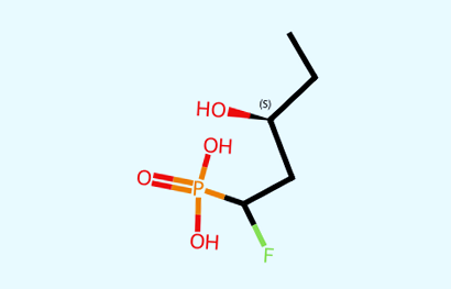 CC[C@H](O)CC(F)P(=O)(O)O